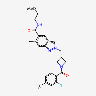 COCCNC(=O)c1cc2cn(CC3CN(C(=O)c4ccc(C(F)(F)F)cc4F)C3)nc2cc1C